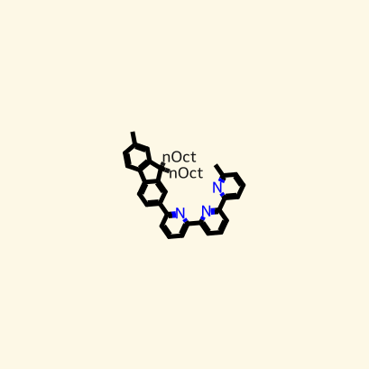 CCCCCCCCC1(CCCCCCCC)c2cc(C)ccc2-c2ccc(-c3cccc(-c4cccc(-c5cccc(C)n5)n4)n3)cc21